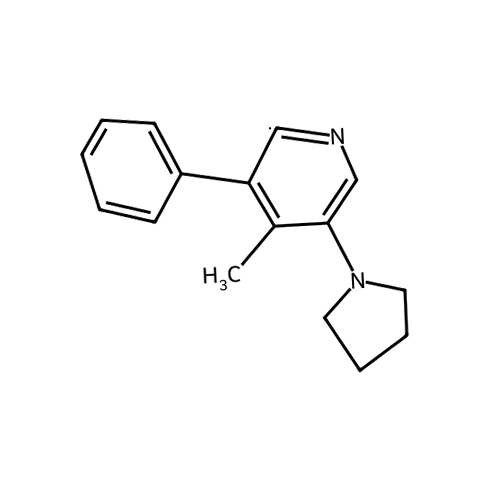 Cc1c(-c2ccccc2)[c]ncc1N1CCCC1